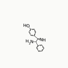 N=C(c1ccc(O)cc1)C(N)c1ccccc1